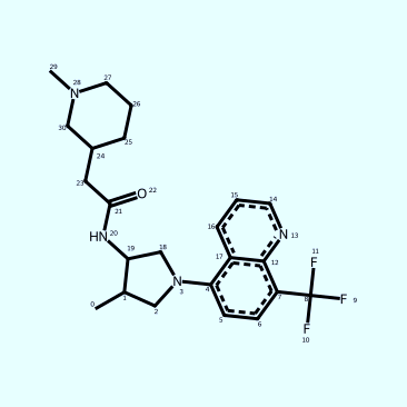 CC1CN(c2ccc(C(F)(F)F)c3ncccc23)CC1NC(=O)CC1CCCN(C)C1